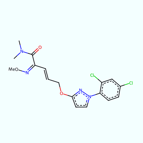 CON=C(C=CCOc1ccn(-c2ccc(Cl)cc2Cl)n1)C(=O)N(C)C